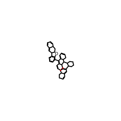 C1=CCC2C(=C1)C(c1cccc3c1OC1CC4C=CC=CC4=CC31)=C1C=CCCC1C2C1CCCCC1C1=CCC2CCC=CC2=C1